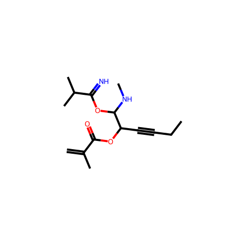 C=C(C)C(=O)OC(C#CCC)C(NC)OC(=N)C(C)C